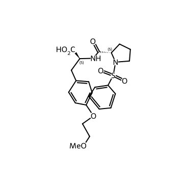 COCCOc1ccc(C[C@H](NC(=O)[C@@H]2CCCN2S(=O)(=O)c2ccccc2)C(=O)O)cc1